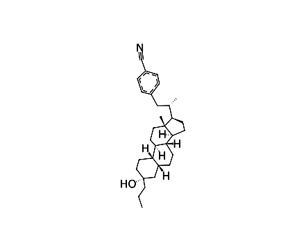 CCC[C@@]1(O)CC[C@H]2[C@H](CC[C@@H]3[C@@H]2CC[C@]2(C)[C@@H]([C@@H](C)Cc4ccc(C#N)cc4)CC[C@@H]32)C1